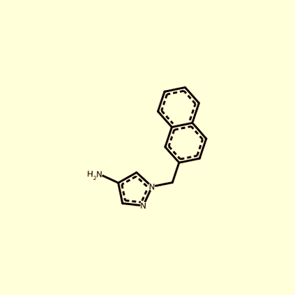 Nc1cnn(Cc2ccc3ccccc3c2)c1